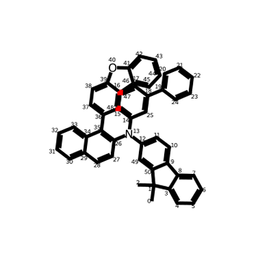 CC1(C)c2ccccc2-c2ccc(N(c3cccc(-c4ccccc4)c3)c3ccc4ccccc4c3-c3ccc4oc5ccccc5c4c3)cc21